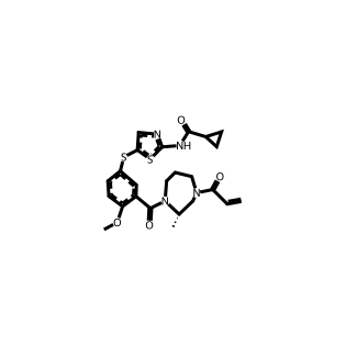 C=CC(=O)N1CCCN(C(=O)c2cc(Sc3cnc(NC(=O)C4CC4)s3)ccc2OC)[C@@H](C)C1